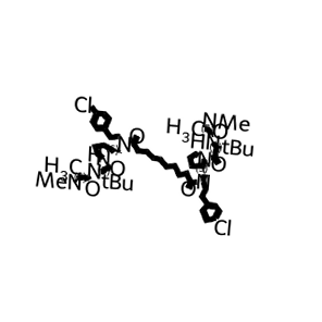 CN[C@@H](C)C(=O)N[C@H](C(=O)N1CCC[C@H]1CN(CCc1ccc(Cl)cc1)C(=O)CCCCCCCCC(=O)N(CCc1ccc(Cl)cc1)C[C@@H]1CCCN1C(=O)[C@@H](NC(=O)[C@H](C)NC)C(C)(C)C)C(C)(C)C